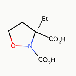 CC[C@@]1(C(=O)O)CCON1C(=O)O